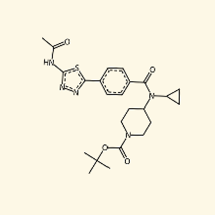 CC(=O)Nc1nnc(-c2ccc(C(=O)N(C3CC3)C3CCN(C(=O)OC(C)(C)C)CC3)cc2)s1